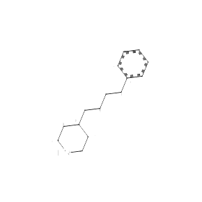 c1ccc(CCCCC2CCNCC2)cc1